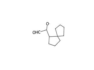 [O]C(C=O)C1CCCC12CCCC2